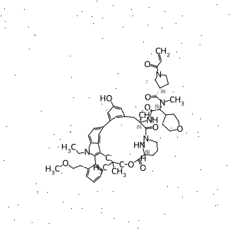 C=CC(=O)N1CC[C@H](C(=O)N(C)[C@H](C(=O)N[C@@]2(C)Cc3cc(O)cc(c3)-c3ccc4c(c3)c(c(-c3ccccc3CCOC)n4CC)CC(C)(C)COC(=O)[C@@H]3CCCN(N3)C2=O)C2CCOCC2)C1